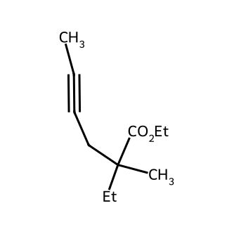 CC#CCC(C)(CC)C(=O)OCC